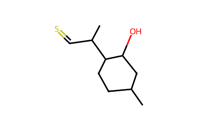 CC1CCC(C(C)C=S)C(O)C1